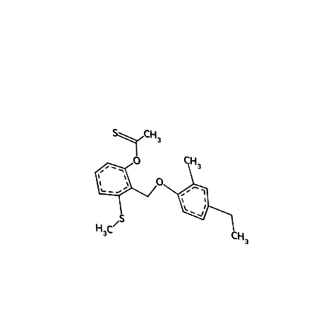 CCc1ccc(OCc2c(OC(C)=S)cccc2SC)c(C)c1